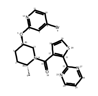 C[C@@H]1CC[C@@H](Oc2cc(Br)ccn2)CN1C(=O)c1ccsc1-c1ncccn1